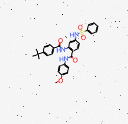 COc1ccc(NC(=O)c2ccc(NS(=O)(=O)c3ccccc3)cc2NC(=O)c2ccc(C(C)(C)C)cc2)cc1